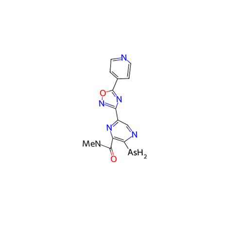 CNC(=O)c1nc(-c2noc(-c3ccncc3)n2)cnc1[AsH2]